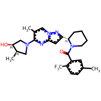 Cc1ccc(C(F)(F)F)c(C(=O)N2CCCC[C@H]2c2cc3nc(N4C[C@@H](C)[C@@H](O)C4)c(C)cn3n2)c1